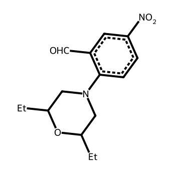 CCC1CN(c2ccc([N+](=O)[O-])cc2C=O)CC(CC)O1